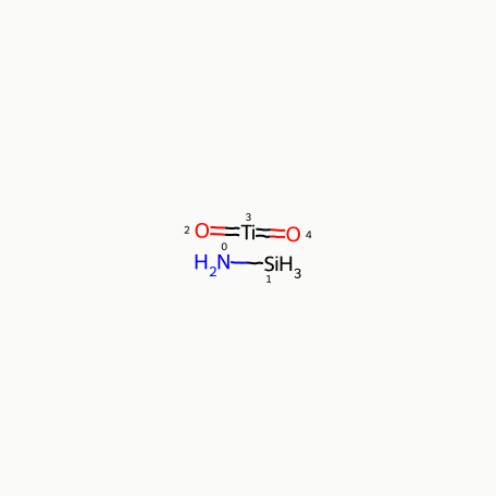 N[SiH3].[O]=[Ti]=[O]